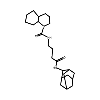 O=C(CCCNC(=O)N1CCCC2CCCCC21)NC1C2CC3CC(C2)CC1C3